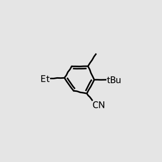 CCc1cc(C)c(C(C)(C)C)c(C#N)c1